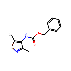 CCc1snc(C)c1NC(=O)OCc1ccccc1